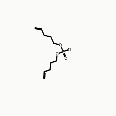 C=CCCCOP(=O)(Cl)OCCCC=C